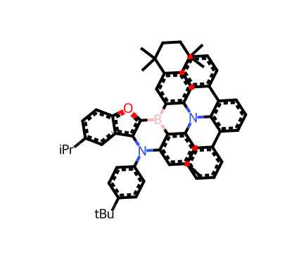 Cc1cc2c3c(c1)N(c1ccc(C(C)(C)C)cc1)c1c(oc4ccc(C(C)C)cc14)B3c1cc3c(cc1N2c1c(-c2ccccc2)cccc1-c1ccccc1)C(C)(C)CCC3(C)C